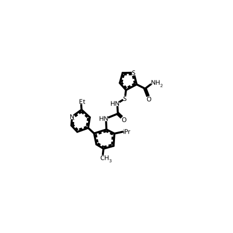 CCc1cc(-c2cc(C)cc(C(C)C)c2NC(=O)NSc2ccsc2C(N)=O)ccn1